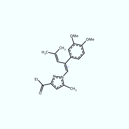 CCC(=O)c1cc(C)n(/C=C(\C=C(C)C)c2ccc(OC)c(OC)c2)n1